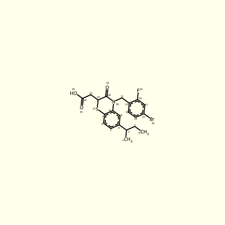 CCC(C)c1ccc2c(c1)N(Cc1ccc(Br)cc1F)C(=O)C(CC(=O)O)S2